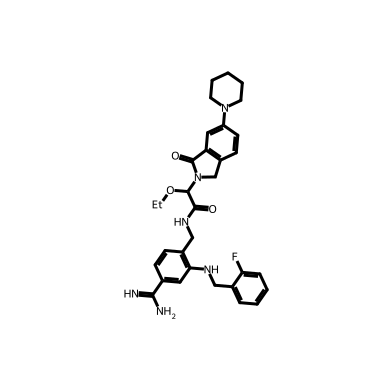 CCOC(C(=O)NCc1ccc(C(=N)N)cc1NCc1ccccc1F)N1Cc2ccc(N3CCCCC3)cc2C1=O